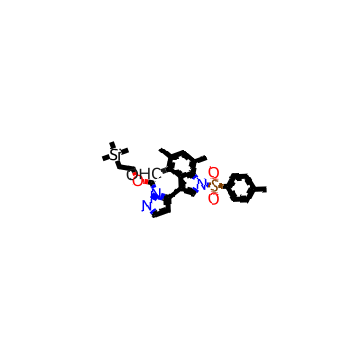 Cc1ccc(S(=O)(=O)n2cc(-c3ccnn3COCC[Si](C)(C)C)c3c(C=O)c(C)cc(C)c32)cc1